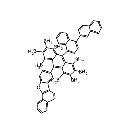 Bc1c(B)c(B)c2c(-c3ccc(-c4ccc5ccccc5c4)c4ccccc34)c3c(B)c(B)c(B)c(B)c3c(-c3ccc4oc5c6ccccc6ccc5c4c3)c2c1B